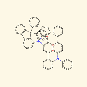 c1ccc(-c2ccc(N(c3ccccc3)c3ccccc3-c3ccc4c5ccccc5n(-c5cccc6c5C(c5ccccc5)(c5ccccc5)c5ccccc5-6)c4c3)cc2)cc1